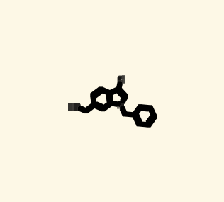 OCc1ccc2c(Cl)cn(Cc3ccccc3)c2c1